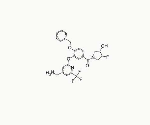 NCc1cc(Oc2cc(C(=O)N3CC(O)C(F)C3)ccc2OCc2ccccc2)nc(C(F)(F)F)c1